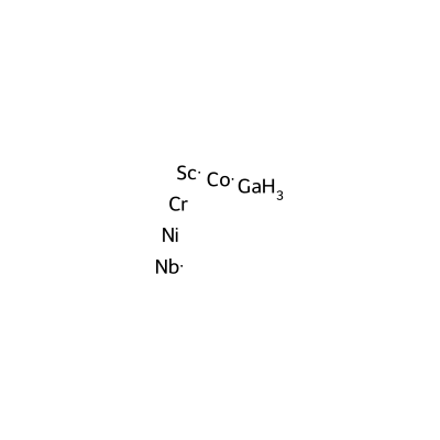 [Co].[Cr].[GaH3].[Nb].[Ni].[Sc]